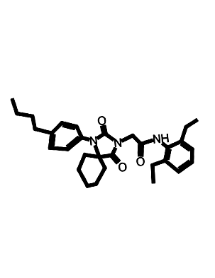 CCCCc1ccc(N2C(=O)N(CC(=O)Nc3c(CC)cccc3CC)C(=O)C23CCCCC3)cc1